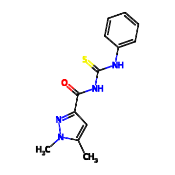 Cc1cc(C(=O)NC(=S)Nc2ccccc2)nn1C